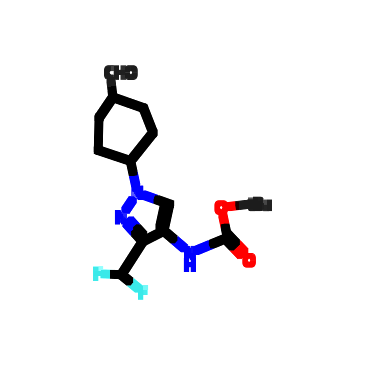 CC(C)(C)OC(=O)Nc1cn(C2CCC(C=O)CC2)nc1C(F)F